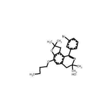 CCCCOc1cc2c(c3c1OC(C)(C)C3)C(c1cccc(Br)c1)=NC(C)(C)C2.Cl